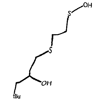 CC(C)(C)CC(O)CSCCSO